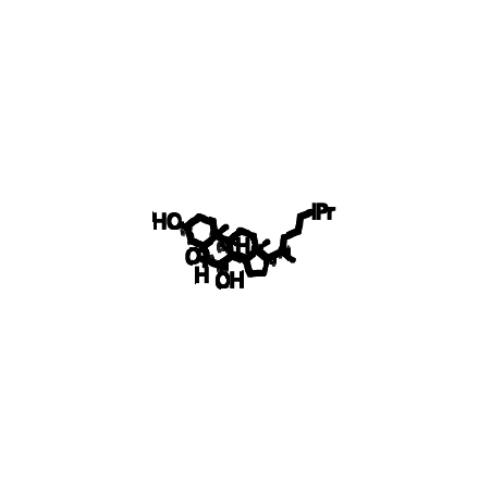 CC(C)CCC[C@@H](C)[C@H]1CCC2=C3[C@H](O)[C@@H]4OC45C[C@@H](O)CC[C@]5(C)[C@H]3CC[C@@]21C